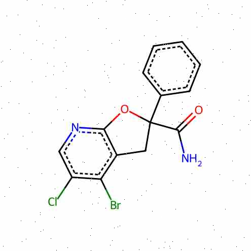 NC(=O)C1(c2ccccc2)Cc2c(ncc(Cl)c2Br)O1